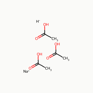 CC(=O)O.CC(=O)O.CC(=O)O.[H-].[Na+]